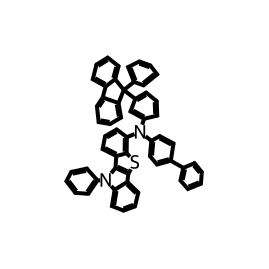 c1ccc(-c2ccc(N(c3cccc(C4(c5ccccc5)c5ccccc5-c5ccccc54)c3)c3cccc4c3sc3c5ccccc5n(-c5ccccc5)c43)cc2)cc1